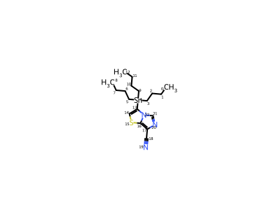 CCC[CH2][Sn]([CH2]CCC)([CH2]CCC)[c]1csc2c(C#N)ncn12